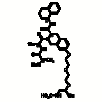 CN[C@@H](C)C(=O)N[C@H](C(=O)N1Cc2cc(OCCOCCOC(CNC(=O)O)C(C)(C)C)ccc2C[C@H]1C(=O)N[C@@H]1CCCc2ccccc21)C(C)(C)C